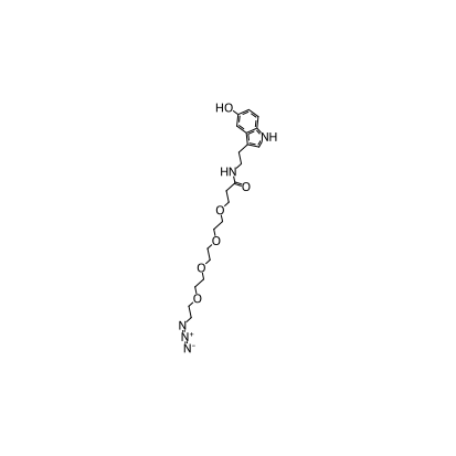 [N-]=[N+]=NCCOCCOCCOCCOCCC(=O)NCCc1c[nH]c2ccc(O)cc12